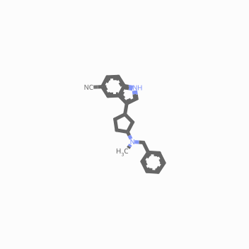 CN(Cc1ccccc1)C1CCC(c2c[nH]c3ccc(C#N)cc23)C1